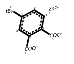 CC(C)(C)c1ccc(C(=O)[O-])c(C(=O)[O-])c1.[Zn+2]